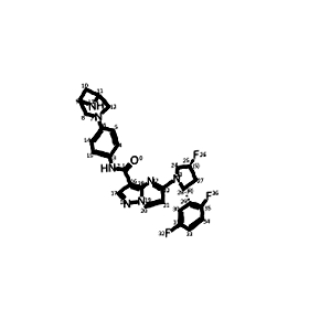 O=C(Nc1ccc(N2CC3CC(C2)N3)cc1)c1cnn2ccc(N3C[C@@H](F)C[C@@H]3c3cc(F)ccc3F)nc12